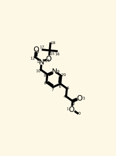 COC(=O)CCc1ccc(CN(C=O)OC(C)(C)C)nc1